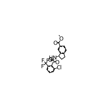 COC(=O)c1ccc2c(c1)[C@H](NS(=O)(=O)c1c(Cl)cccc1C(F)(F)F)CC2